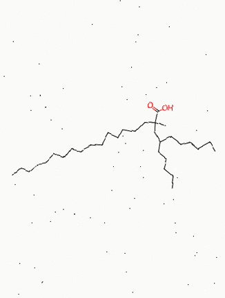 CCCCCCCCCCCCCCCCC(C)(CC(CCCCC)CCCCCC)C(=O)O